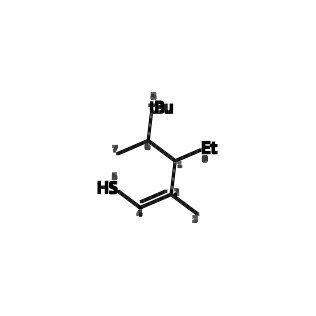 CCC(/C(C)=C\S)C(C)C(C)(C)C